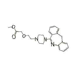 COC(=O)COCCN1CCN(C2=Nc3ccccc3Cc3ccccc32)CC1